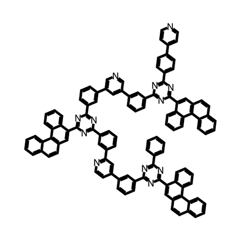 c1ccc(-c2nc(-c3cccc(-c4ccnc(-c5cccc(-c6nc(-c7cccc(-c8cncc(-c9cccc(-c%10nc(-c%11ccc(-c%12ccncc%12)cc%11)nc(-c%11cc%12ccc%13ccccc%13c%12c%12ccccc%11%12)n%10)c9)c8)c7)nc(-c7cc8ccc9ccccc9c8c8ccccc78)n6)c5)c4)c3)nc(-c3cc4ccc5ccccc5c4c4ccccc34)n2)cc1